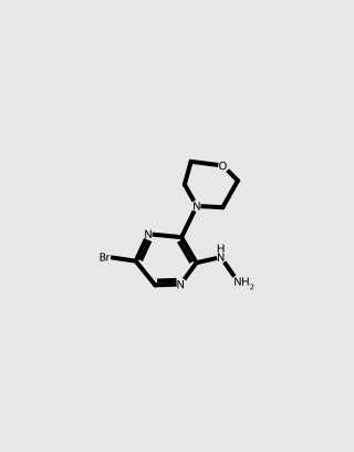 NNc1ncc(Br)nc1N1CCOCC1